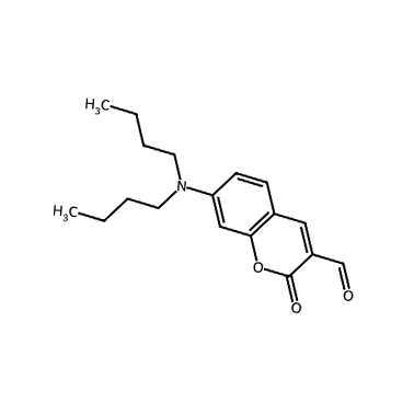 CCCCN(CCCC)c1ccc2cc(C=O)c(=O)oc2c1